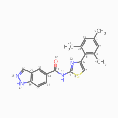 Cc1cc(C)c(-c2csc(NC(=O)c3ccc4[nH]ncc4c3)n2)c(C)c1